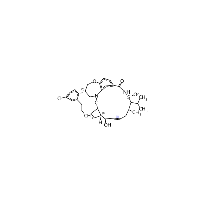 CCCc1cc(Cl)ccc1[C@@H]1COc2ccc3cc2N(CC2CC[C@H]2C(O)/C=C/CC(C)C(C(C)C)[S+]([O-])NC3=O)C1